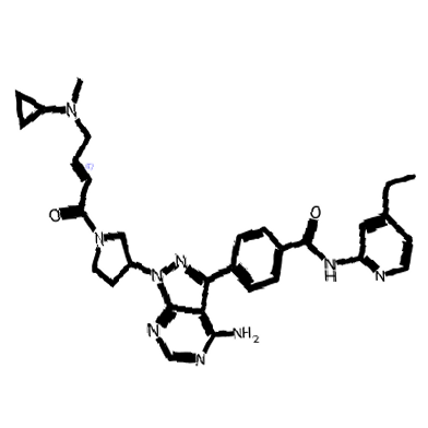 CCc1ccnc(NC(=O)c2ccc(-c3nn(C4CCN(C(=O)/C=C/CN(C)C5CC5)C4)c4ncnc(N)c34)cc2)c1